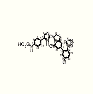 O=C(O)Nc1ccc(-c2cnc([C@@H]3CSc4cc(-c5cc(Cl)ccc5-n5cnnn5)cc(=O)n43)[nH]2)cc1